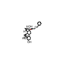 C[C@]12CCC3C(C1[C@@H]1C[C@@H]1[C@@]2(O)C#CCOCc1ccccc1)[C@H]1C[C@H]1[C@]1(O)C[C@@H](O)CC[C@]31C